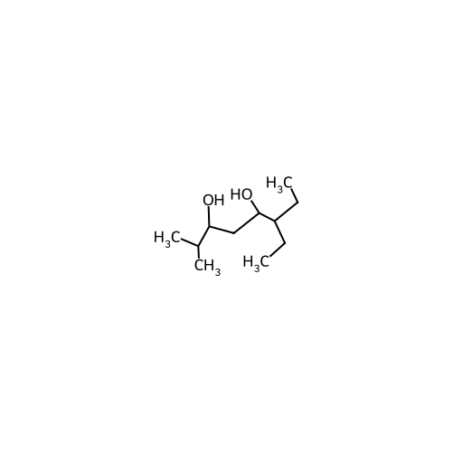 CCC(CC)C(O)CC(O)C(C)C